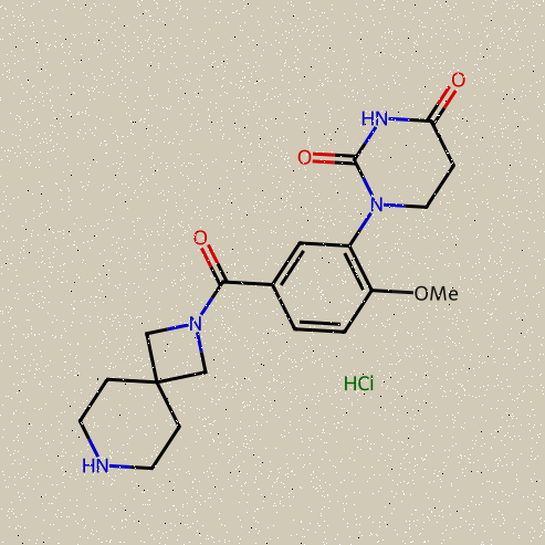 COc1ccc(C(=O)N2CC3(CCNCC3)C2)cc1N1CCC(=O)NC1=O.Cl